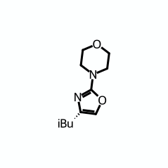 CC[C@@H](C)c1coc(N2CCOCC2)n1